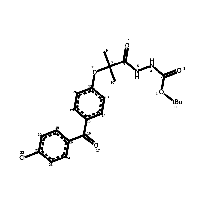 CC(C)(C)OC(=O)NNC(=O)C(C)(C)Oc1ccc(C(=O)c2ccc(Cl)cc2)cc1